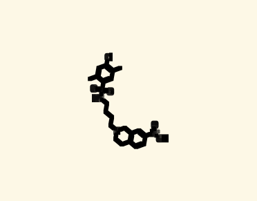 Cc1cc(S(=O)(=O)NCCCCN2CCc3ccc([N+](=O)O)cc3C2)c(C)cc1Cl